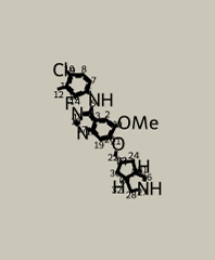 COc1cc2c(Nc3ccc(Cl)c(C)c3F)ncnc2cc1OC[C@@H]1C[C@H]2CNC[C@H]2C1